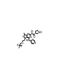 Cc1nn(CCOCC(F)(F)F)c2c(Nc3ccncn3)nc(NC(=O)[C@H]3CCNC3)nc12